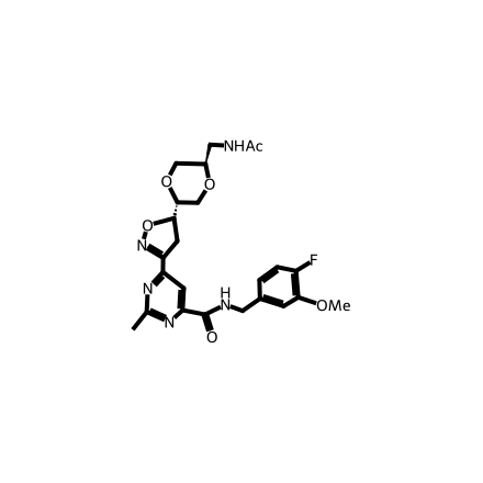 COc1cc(CNC(=O)c2cc(C3=NOC([C@H]4CO[C@H](CNC(C)=O)CO4)C3)nc(C)n2)ccc1F